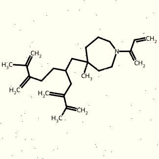 C=CC(=C)N1CCCC(C)(CC(CCC(=C)C(=C)C)CC(=C)C(=C)C)CC1